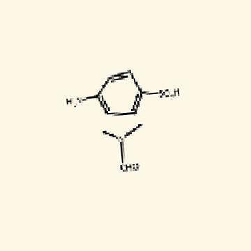 CN(C)C=O.Nc1ccc(S(=O)(=O)O)cc1